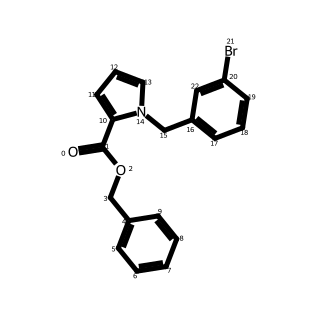 O=C(OCc1ccccc1)c1cccn1Cc1cccc(Br)c1